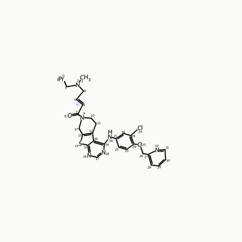 CC(C)CN(C)C/C=C/C(=O)N1CCc2c(sc3ncnc(Nc4ccc(OCc5ccccn5)c(Cl)c4)c23)C1